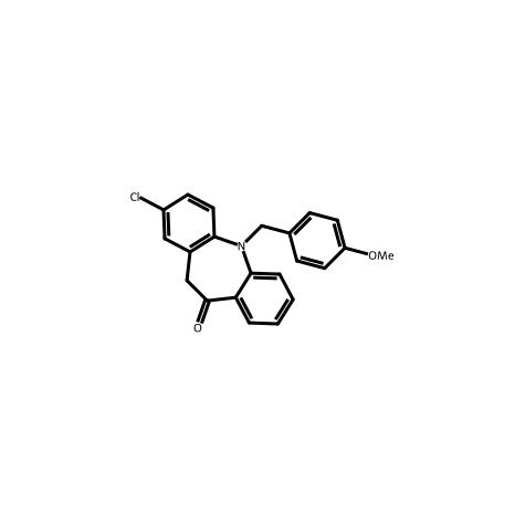 COc1ccc(CN2c3ccc(Cl)cc3CC(=O)c3ccccc32)cc1